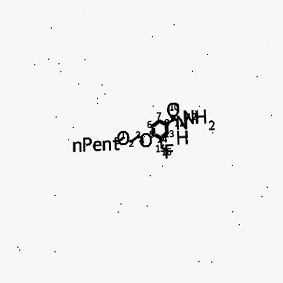 CCCCCOCCOc1ccc(C(=O)NN)cc1CF